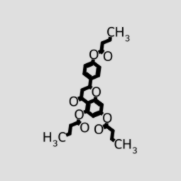 CCCC(=O)Oc1ccc(C2CC(=O)c3c(OC(=O)CCC)cc(OC(=O)CCC)cc3O2)cc1